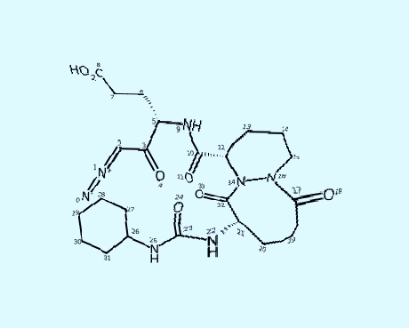 [N-]=[N+]=CC(=O)[C@H](CCC(=O)O)NC(=O)[C@@H]1CCCN2C(=O)CC[C@H](NC(=O)NC3CCCCC3)C(=O)N12